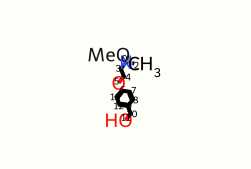 CON(C)CCOc1ccc(CO)cc1